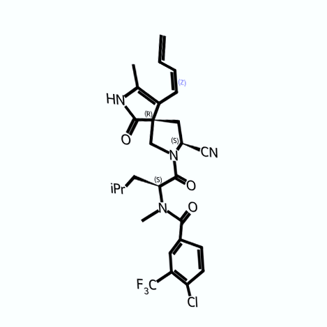 C=C/C=C\C1=C(C)NC(=O)[C@]12C[C@@H](C#N)N(C(=O)[C@H](CC(C)C)N(C)C(=O)c1ccc(Cl)c(C(F)(F)F)c1)C2